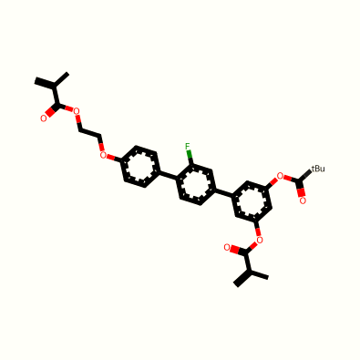 C=C(C)C(=O)OCCOc1ccc(-c2ccc(-c3cc(OC(=O)C(=C)C)cc(OC(=O)C(C)(C)C)c3)cc2F)cc1